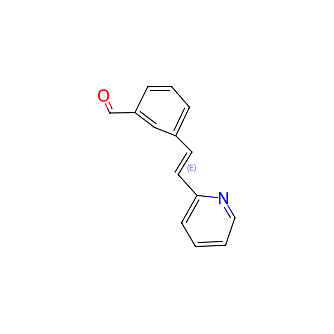 O=Cc1cccc(/C=C/c2ccccn2)c1